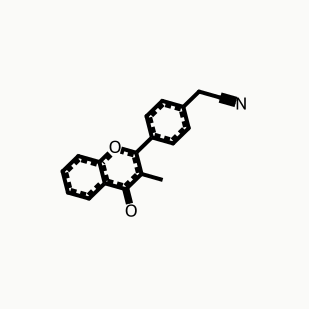 Cc1c(-c2ccc(CC#N)cc2)oc2ccccc2c1=O